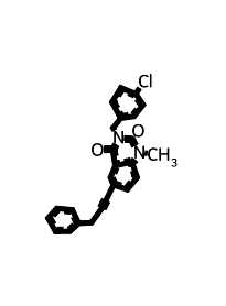 Cn1c(=O)n(Cc2ccc(Cl)cc2)c(=O)c2cc(C#CCc3ccccc3)ccc21